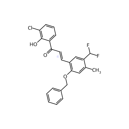 Cc1cc(OCc2ccccc2)c(/C=C/C(=O)c2cccc(Cl)c2O)cc1C(F)F